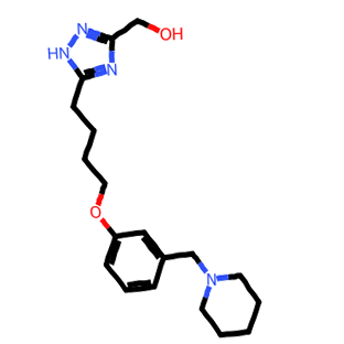 OCc1n[nH]c(CCCCOc2cccc(CN3CCCCC3)c2)n1